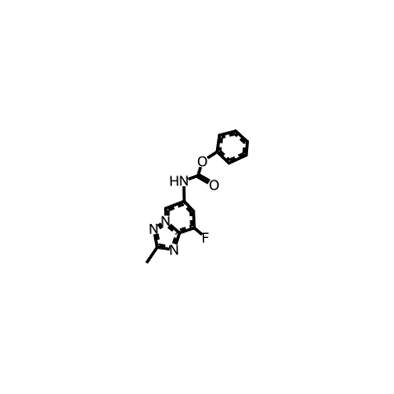 Cc1nc2c(F)cc(NC(=O)Oc3ccccc3)cn2n1